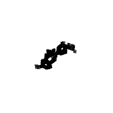 CC1(C)Cc2cc(Br)ccc2CN1c1ccc([N+](=O)[O-])nc1